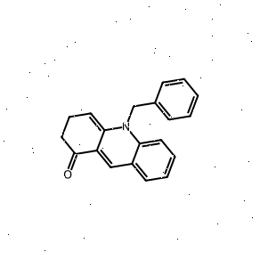 O=C1CCC=C2C1=Cc1ccccc1N2Cc1ccccc1